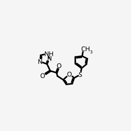 Cc1ccc(Sc2ccc(CC(=O)C(=O)c3nc[nH]n3)o2)cc1